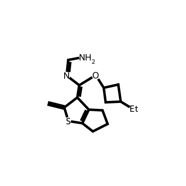 C=c1sc2c(/c1=C(/N=C\N)OC1CC(CC)C1)CCC2